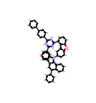 c1ccc(-c2ccc(-c3nc(-c4ccccc4)nc(-c4cccc5oc6ccc(-n7c8ccccc8c8cc(-c9ccccc9)c9ccccc9c87)cc6c45)n3)cc2)cc1